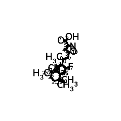 C/C(=C\c1cc(C(=O)O)no1)c1cc2c(cc1F)C(C)(C)CCC2(C)C